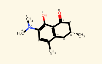 Cc1cc(N(C)C)c(O)c2c1C[C@@H](C)CC2=O